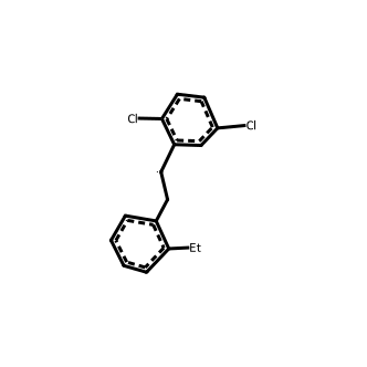 CCc1ccccc1C[CH]c1cc(Cl)ccc1Cl